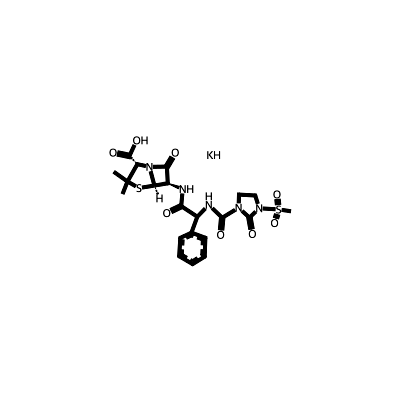 CC1(C)S[C@@H]2[C@H](NC(=O)C(NC(=O)N3CCN(S(C)(=O)=O)C3=O)c3ccccc3)C(=O)N2[C@H]1C(=O)O.[KH]